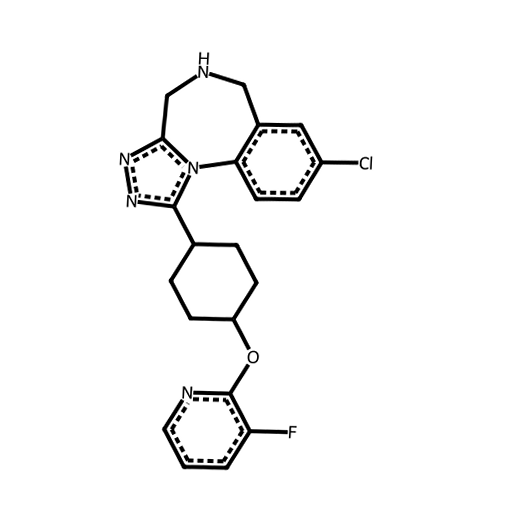 Fc1cccnc1OC1CCC(c2nnc3n2-c2ccc(Cl)cc2CNC3)CC1